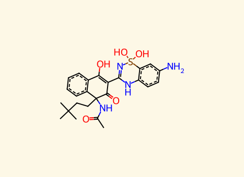 CC(=O)NC1(CCC(C)(C)C)C(=O)C(C2=NS(O)(O)c3cc(N)ccc3N2)=C(O)c2ccccc21